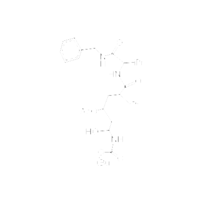 CC(=O)OC(CC(O)NC(=O)OC(C)(C)C)CC(C(=O)NC(C(=O)NCc1ccccc1)C(C)C)C(C)C